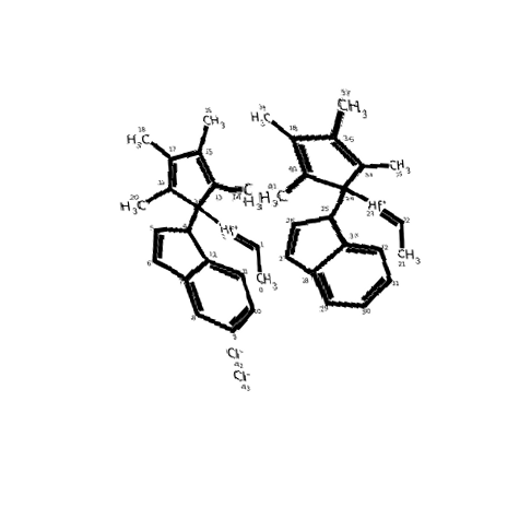 C[CH]=[Hf+][C]1(C2C=Cc3ccccc32)C(C)=C(C)C(C)=C1C.C[CH]=[Hf+][C]1(C2C=Cc3ccccc32)C(C)=C(C)C(C)=C1C.[Cl-].[Cl-]